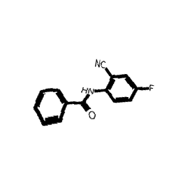 N#Cc1cc(F)ccc1NC(=O)c1ccccc1